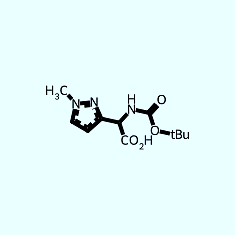 Cn1ccc(C(NC(=O)OC(C)(C)C)C(=O)O)n1